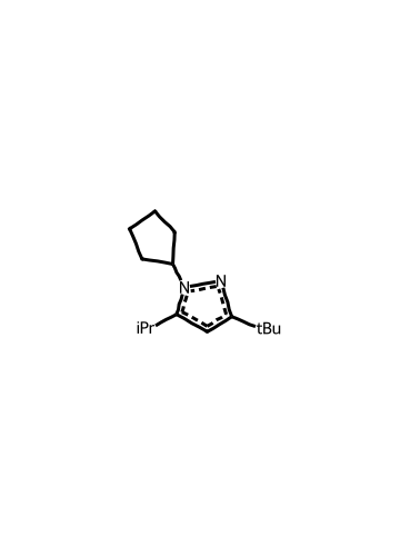 CC(C)c1cc(C(C)(C)C)nn1C1CCCC1